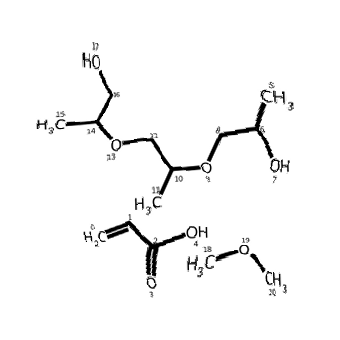 C=CC(=O)O.CC(O)COC(C)COC(C)CO.COC